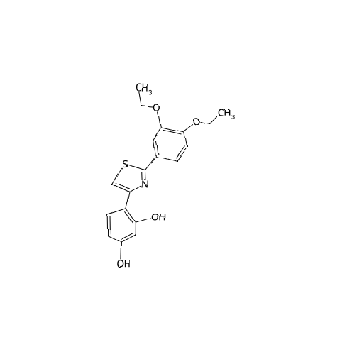 CCOc1ccc(-c2nc(-c3ccc(O)cc3O)cs2)cc1OCC